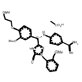 CC(=O)O.COCCOc1ccc([C@H](Nc2ccc(C(=N)N)cc2)c2nn(-c3ccccc3OC)c(=O)[nH]2)cc1OC